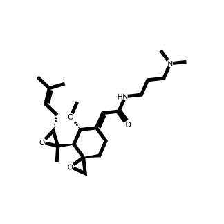 CO[C@@H]1C(=CC(=O)NCCCN(C)C)CC[C@]2(CO2)[C@H]1C1(C)O[C@@H]1CC=C(C)C